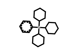 c1ccc([Si](C2CCCCC2)(C2CCCCC2)C2CCCCC2)cc1